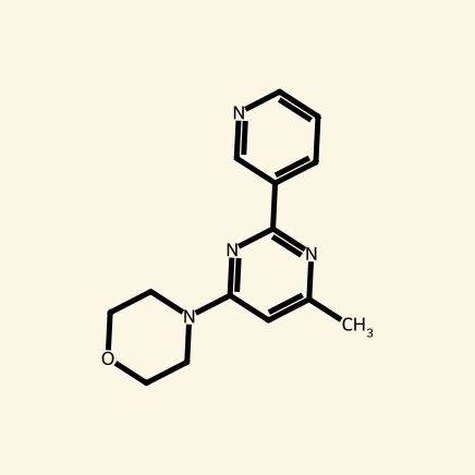 Cc1cc(N2CCOCC2)nc(-c2cccnc2)n1